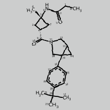 CCC(=O)N[C@]1(C)C[C@H](C(=O)N2CC3CC3(c3ccc(C(C)(C)C)cc3)C2)C1